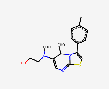 Cc1ccc(C2=CSC3=NC=C(N(C=O)CCO)C(C=O)N23)cc1